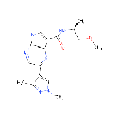 COC[C@H](C)NC(=O)c1c[nH]c2ncc(-c3cn(C)nc3C)nc12